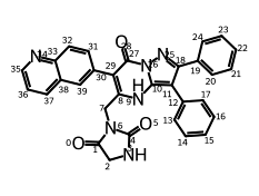 O=C1CNC(=O)N1Cc1[nH]c2c(-c3ccccc3)c(-c3ccccc3)nn2c(=O)c1-c1ccc2ncccc2c1